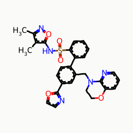 Cc1noc(NS(=O)(=O)c2ccccc2-c2ccc(-c3ncco3)cc2CN2CCOc3cccnc32)c1C